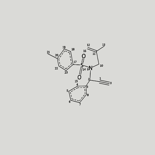 C#CC(c1ccccc1)N(CC(=C)C)S(=O)(=O)c1ccc(C)cc1